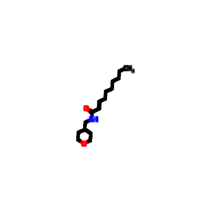 CCCCCCC/C=C/C(=O)NCC1CCOCC1